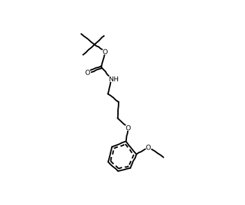 COc1ccccc1OCCCNC(=O)OC(C)(C)C